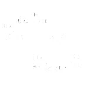 CC(CC(Cc1ccccc1OC(=O)c1cc(C(C)(C)C)c(O)c(C(C)(C)C)c1)C(C)(C)C)C(C)(C)C